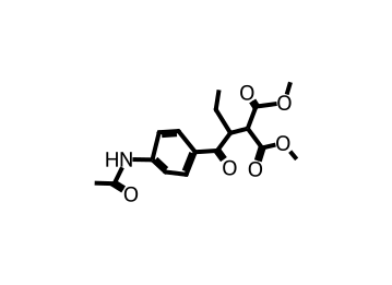 CCC(C(=O)c1ccc(NC(C)=O)cc1)C(C(=O)OC)C(=O)OC